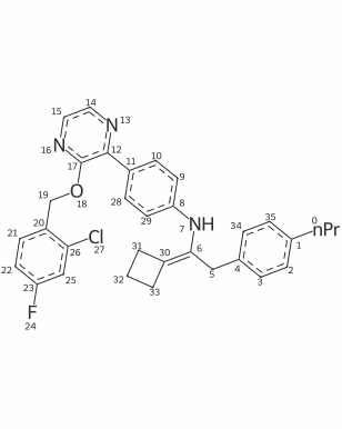 CCCc1ccc(CC(Nc2ccc(-c3nccnc3OCc3ccc(F)cc3Cl)cc2)=C2CCC2)cc1